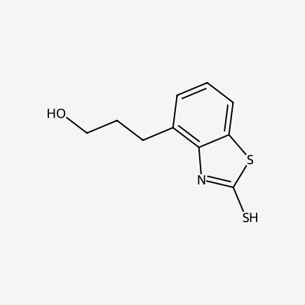 OCCCc1cccc2sc(S)nc12